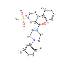 Cc1ccccc1C1CCN(S(C)(=O)=O)CC1C(=O)N1CCN(c2cc(Cl)ccc2C)CC1